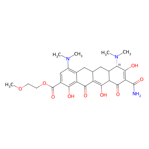 COCCOC(=O)c1cc(N(C)C)c2c(c1O)C(=O)C1=C(O)C3C(=O)C(C(N)=O)=C(O)[C@@H](N(C)C)C3CC1C2